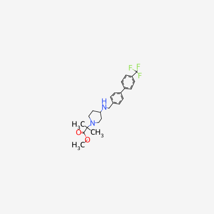 COC(=O)C(C)(C)N1CCC(NCc2ccc(-c3ccc(C(F)(F)F)cc3)cc2)CC1